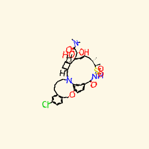 C[C@@H]1[C@@H](C)C/C=C/[C@](O)([C@@H](O)C(=O)N(C)C)[C@@H]2CC[C@H]2CN2CCCCc3cc(Cl)ccc3COc3ccc(cc32)C(=O)NS1(=O)=O